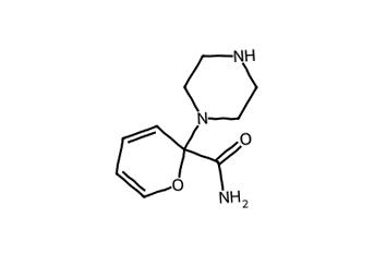 NC(=O)C1(N2CCNCC2)C=CC=CO1